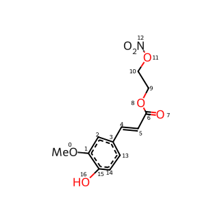 COc1cc(C=CC(=O)OCCO[N+](=O)[O-])ccc1O